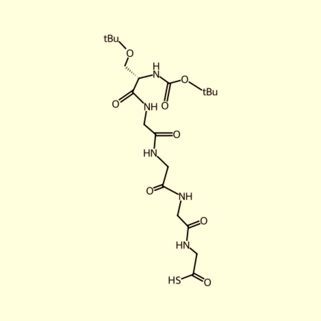 CC(C)(C)OC[C@H](NC(=O)OC(C)(C)C)C(=O)NCC(=O)NCC(=O)NCC(=O)NCC(=O)S